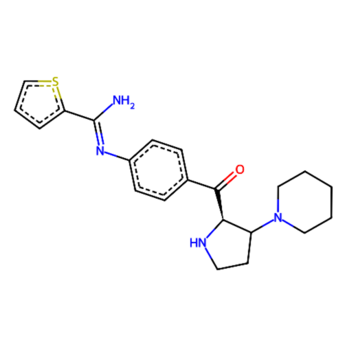 NC(=Nc1ccc(C(=O)[C@@H]2NCCC2N2CCCCC2)cc1)c1cccs1